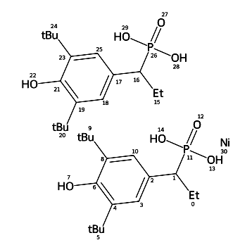 CCC(c1cc(C(C)(C)C)c(O)c(C(C)(C)C)c1)P(=O)(O)O.CCC(c1cc(C(C)(C)C)c(O)c(C(C)(C)C)c1)P(=O)(O)O.[Ni]